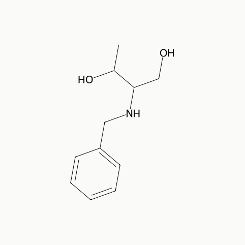 CC(O)C(CO)NCc1ccccc1